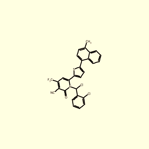 Cc1ccc(-c2ccc(-c3cc(C(F)(F)F)c(C#N)c(=O)n3C(Cl)c3ccccc3Cl)s2)c2ccccc12